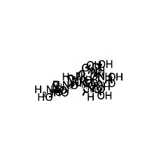 CC(C)C[C@H](NC(=O)[C@@H]1CCCN1C(=O)[C@@H]1CCCN1C(=O)[C@H](CO)NC(=O)[C@@H]1CCCN1C(=O)[C@@H](N)CO)C(=O)N[C@@H](CC(=O)O)C(=O)N[C@@H](CCC(=O)O)C(=O)N[C@@H](CC(=O)O)C(=O)N[C@@H](C)C(=O)O